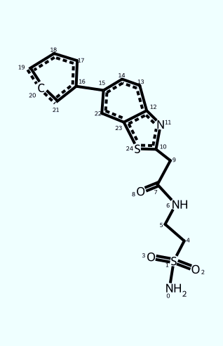 NS(=O)(=O)CCNC(=O)Cc1nc2ccc(-c3ccccc3)cc2s1